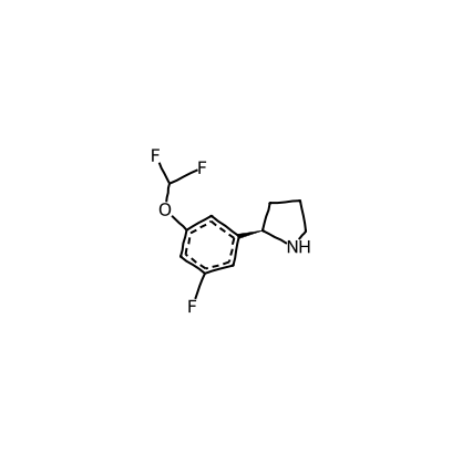 Fc1cc(OC(F)F)cc([C@H]2CCCN2)c1